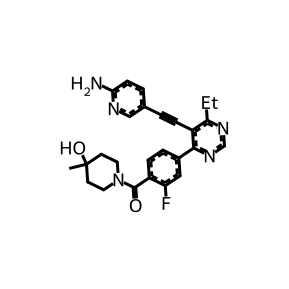 CCc1ncnc(-c2ccc(C(=O)N3CCC(C)(O)CC3)c(F)c2)c1C#Cc1ccc(N)nc1